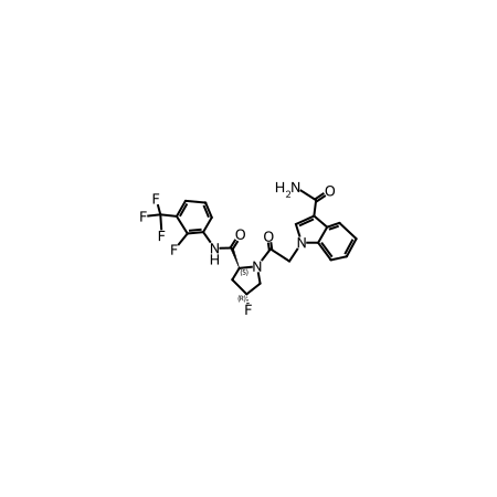 NC(=O)c1cn(CC(=O)N2C[C@H](F)C[C@H]2C(=O)Nc2cccc(C(F)(F)F)c2F)c2ccccc12